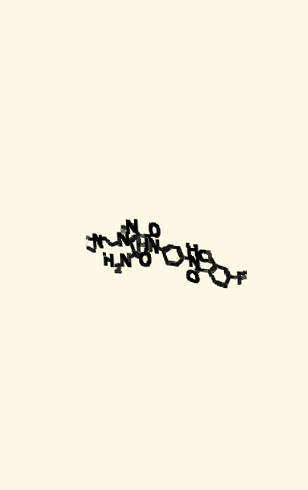 NC(=O)c1c(C(=O)Nc2ccc(NC(=O)c3ccc(F)cc3Cl)cc2)ncn1CCN1CCC1